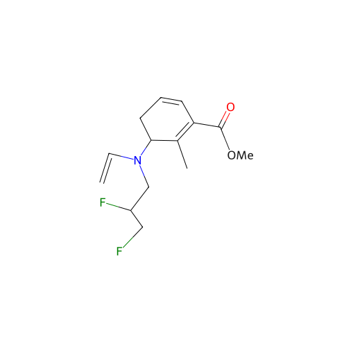 C=CN(CC(F)CF)C1CC=CC(C(=O)OC)=C1C